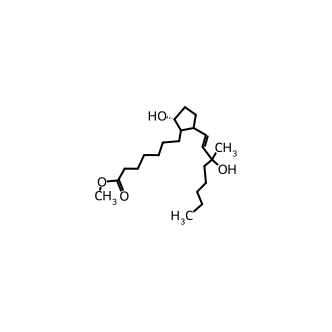 CCCCCC(C)(O)/C=C/C1CC[C@@H](O)C1CCCCCCC(=O)OC